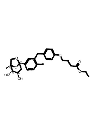 CCOC(=O)CCCOc1ccc(Cc2cc([C@]34C[C@@H](O)[C@H](O)[C@](C)(CO3)O4)ccc2C)cc1